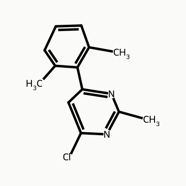 Cc1nc(Cl)cc(-c2c(C)cccc2C)n1